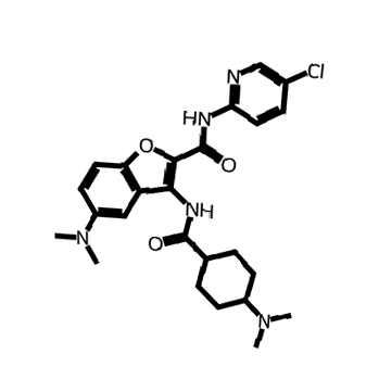 CN(C)c1ccc2oc(C(=O)Nc3ccc(Cl)cn3)c(NC(=O)C3CCC(N(C)C)CC3)c2c1